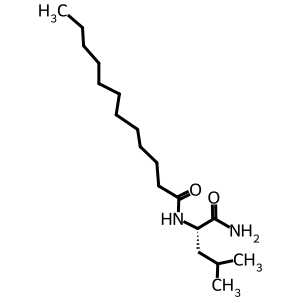 CCCCCCCCCCCC(=O)N[C@@H](CC(C)C)C(N)=O